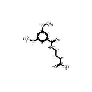 COc1cc(OC)cc(C(=O)NCCCC(=O)O)c1